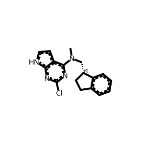 CN(C[C@H]1CCc2ccccc21)c1nc(Cl)nc2[nH]ccc12